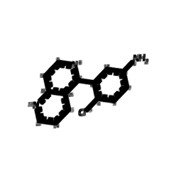 Nc1ccc(Cl)c(-c2nccc3ncccc23)c1